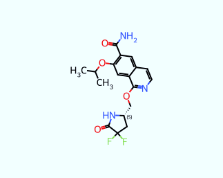 CC(C)Oc1cc2c(OC[C@@H]3CC(F)(F)C(=O)N3)nccc2cc1C(N)=O